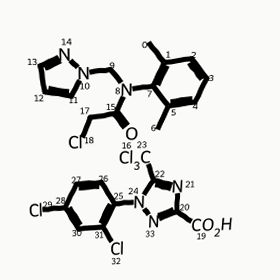 Cc1cccc(C)c1N(Cn1cccn1)C(=O)CCl.O=C(O)c1nc(C(Cl)(Cl)Cl)n(-c2ccc(Cl)cc2Cl)n1